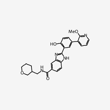 COc1ncccc1-c1ccc(O)c(-c2nc3cc(C(=O)NCC4CCCOC4)ccc3[nH]2)c1